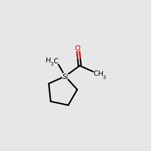 CC(=O)[Si]1(C)CCCC1